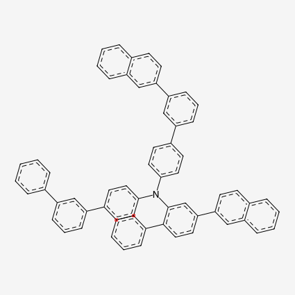 c1ccc(-c2cccc(-c3ccc(N(c4ccc(-c5cccc(-c6ccc7ccccc7c6)c5)cc4)c4cc(-c5ccc6ccccc6c5)ccc4-c4ccccc4)cc3)c2)cc1